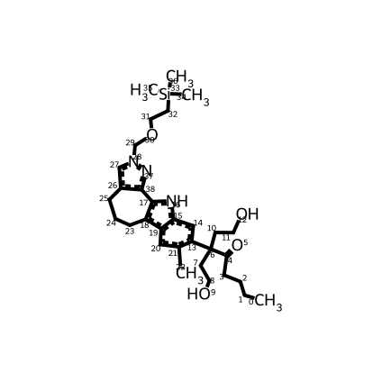 CCCCC(=O)C(CCO)(CCO)c1cc2[nH]c3c(c2cc1C)CCCc1cn(COCC[Si](C)(C)C)nc1-3